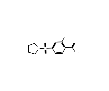 COC(=O)c1ccc(S(=O)(=O)N2CCCC2)cc1F